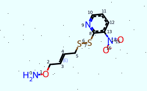 NOC/C=C/CSSc1ncccc1[N+](=O)[O-]